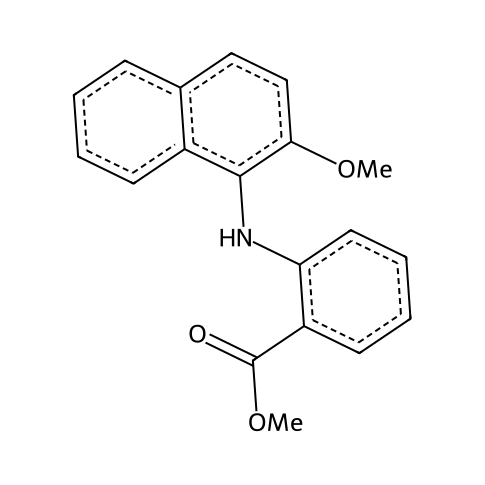 COC(=O)c1ccccc1Nc1c(OC)ccc2ccccc12